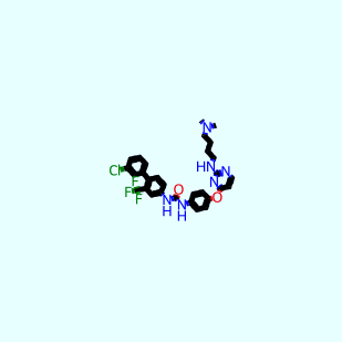 CN(C)CCCCNc1nccc(Oc2ccc(NC(=O)Nc3ccc(-c4cccc(Cl)c4)c(C(F)(F)F)c3)cc2)n1